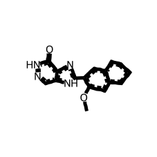 COc1cc2ccccc2cc1-c1nc2c(=O)[nH]ncc2[nH]1